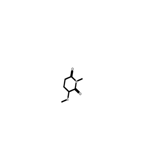 CSC1CCC(=O)N(C)C1=O